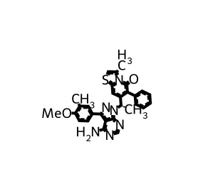 COc1ccc(-c2nn([C@@H](C)c3cc4scc(C)n4c(=O)c3-c3ccccc3)c3ncnc(N)c23)cc1C